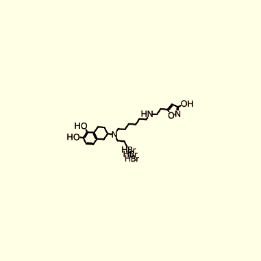 Br.Br.Br.CCCN(CCCCCCNCCc1cc(O)no1)C1CCc2c(ccc(O)c2O)C1